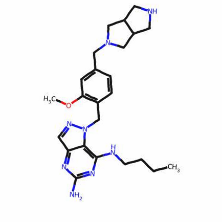 CCCCNc1nc(N)nc2cnn(Cc3ccc(CN4CC5CNCC5C4)cc3OC)c12